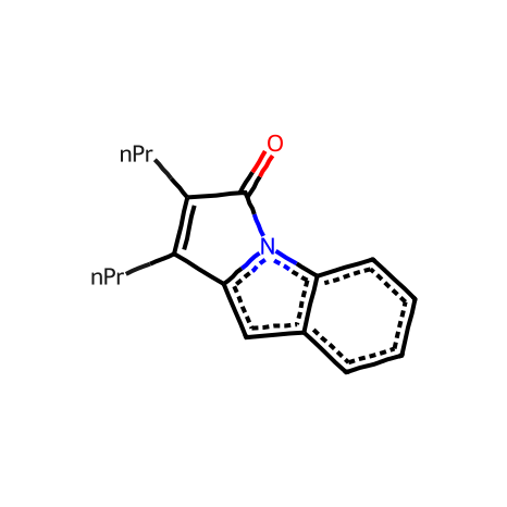 CCCC1=C(CCC)c2cc3ccccc3n2C1=O